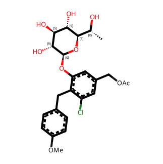 COc1ccc(Cc2c(Cl)cc(COC(C)=O)cc2O[C@@H]2O[C@H]([C@@H](C)O)[C@@H](O)[C@H](O)[C@H]2O)cc1